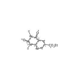 CCOC(=O)c1cnc2c(c1)c(=O)n(C)c(=O)n2C